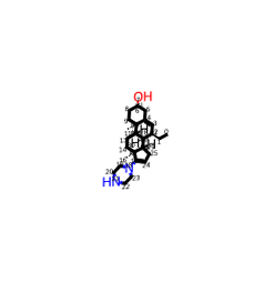 CC[C@@H]1C=C2C[C@@H](O)CC[C@]2(C)[C@H]2CC[C@]3(C)C(N4CCNCC4)=CC[C@H]3[C@H]12